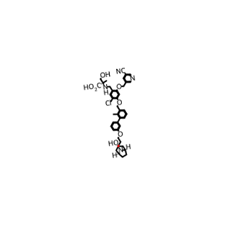 Cc1c(COc2cc(OCc3cncc(C#N)c3)c(CN[C@](C)(CO)C(=O)O)cc2Cl)cccc1-c1cccc(OCCCN2[C@@H]3CC[C@H]2C[C@@H](O)C3)c1